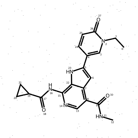 CCn1cc(-c2cc3c(C(=O)NC)cnc(NC(=O)C4CC4)c3[nH]2)ccc1=O